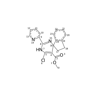 COC(=O)C1=C(Cl)NC(c2ccccn2)=NC12CCc1ccccc12